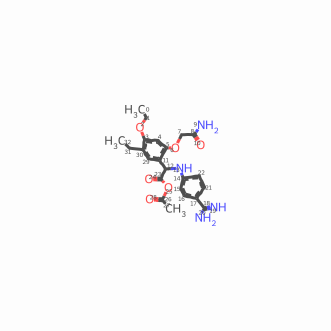 CCOc1cc(OCC(N)=O)c(C(Nc2ccc(C(=N)N)cc2)C(=O)OC(C)=O)cc1CC